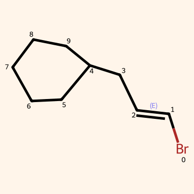 Br/C=C/CC1CCCCC1